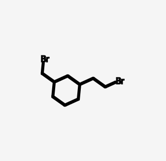 BrCCC1CCCC(CBr)C1